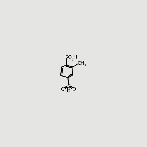 Cc1cc([SH](=O)=O)ccc1S(=O)(=O)O